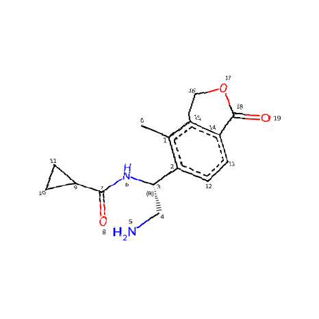 Cc1c([C@H](CN)NC(=O)C2CC2)ccc2c1COC2=O